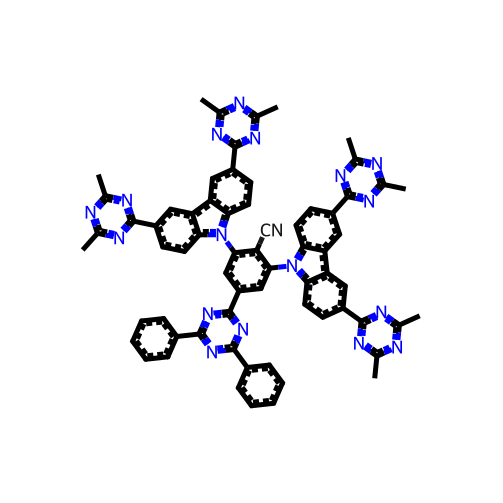 Cc1nc(C)nc(-c2ccc3c(c2)c2cc(-c4nc(C)nc(C)n4)ccc2n3-c2cc(-c3nc(-c4ccccc4)nc(-c4ccccc4)n3)cc(-n3c4ccc(-c5nc(C)nc(C)n5)cc4c4cc(-c5nc(C)nc(C)n5)ccc43)c2C#N)n1